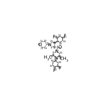 C[C@@H]1CN(C(=O)[C@@H]2CN(C3CCOCC3)C[C@H]2c2ccc(F)cc2F)C[C@H](C)N1c1ccc(F)c(F)c1